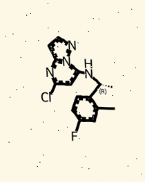 Cc1cc(F)ccc1[C@@H](C)Nc1cc(Cl)nc2ccnn12